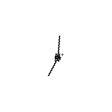 CCCCCCCCCCCCCCC[n+]1ccn(CCCCCCCCCCCCCC)c1C(C)C